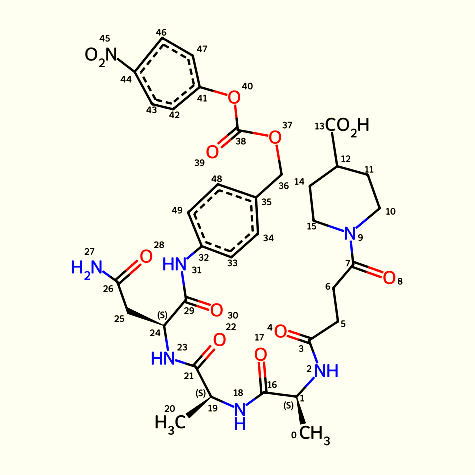 C[C@H](NC(=O)CCC(=O)N1CCC(C(=O)O)CC1)C(=O)N[C@@H](C)C(=O)N[C@@H](CC(N)=O)C(=O)Nc1ccc(COC(=O)Oc2ccc([N+](=O)[O-])cc2)cc1